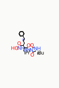 CC[C@H](C)C1NC(=O)N(NC(=O)[C@H](CC(C)C)C(C/C=C/c2ccccc2)C(=O)NO)C1=O